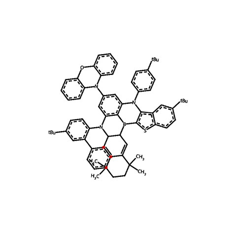 CC1(C)CCC(C)(C)C2=CC3C(C=C21)B1c2sc4ccc(C(C)(C)C)cc4c2N(c2ccc(C(C)(C)C)cc2)c2cc(N4c5ccccc5Oc5ccccc54)cc(c21)N3c1ccc(C(C)(C)C)cc1-c1ccccc1